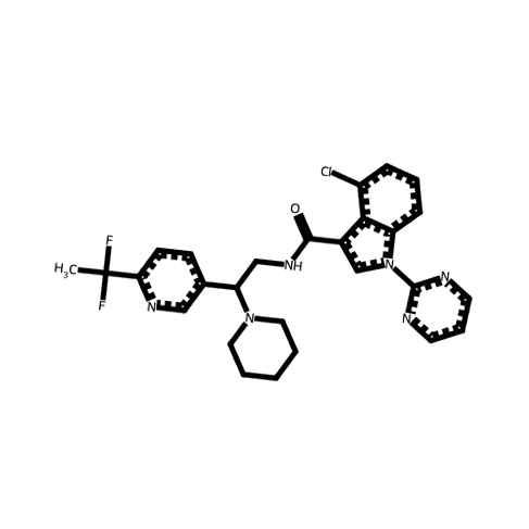 CC(F)(F)c1ccc(C(CNC(=O)c2cn(-c3ncccn3)c3cccc(Cl)c23)N2CCCCC2)cn1